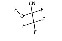 N#CC(F)(OF)C(F)(F)F